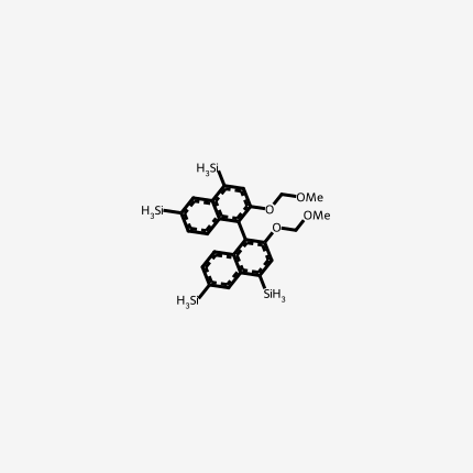 COCOc1cc([SiH3])c2cc([SiH3])ccc2c1-c1c(OCOC)cc([SiH3])c2cc([SiH3])ccc12